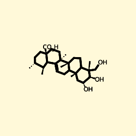 C[C@@H]1CC[C@]2(C(=O)O)CC[C@]3(C)C(=CCC4[C@@]5(C)C[C@@H](O)[C@H](O)[C@@](C)(CO)C5CC[C@]43C)C2[C@H]1C